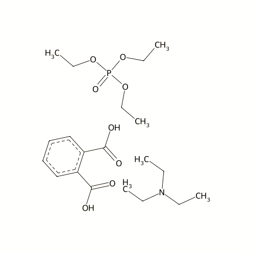 CCN(CC)CC.CCOP(=O)(OCC)OCC.O=C(O)c1ccccc1C(=O)O